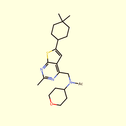 CC(=O)N(Cc1nc(C)nc2sc(C3CCC(C)(C)CC3)cc12)C1CCOCC1